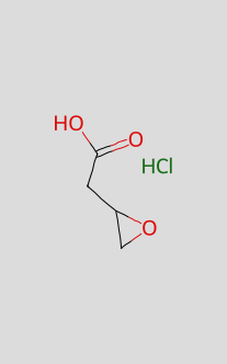 Cl.O=C(O)CC1CO1